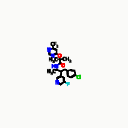 CC(NC(=O)C(C)(C)Oc1cc(C(F)(F)F)ncn1)C(Cc1ccc(Cl)cc1)c1cncc(F)c1